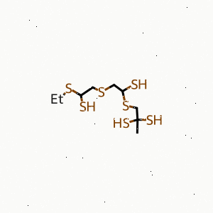 CCSC(S)CSCC(S)SCC(C)(S)S